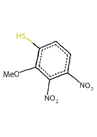 COc1c(S)ccc([N+](=O)[O-])c1[N+](=O)[O-]